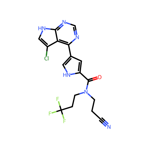 N#CCCN(CCC(F)(F)F)C(=O)c1cc(-c2ncnc3[nH]cc(Cl)c23)c[nH]1